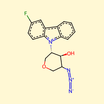 [N-]=[N+]=NC1COC[C@H](n2c3ccccc3c3cc(F)ccc32)[C@H]1O